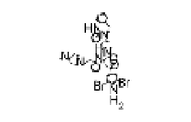 CN(C)C1CCN(CCC(=O)N[C@H](CC(=O)c2cc(Br)c(N)c(Br)c2)C(=O)N2CCC(N3CCc4ccccc4NC3=O)CC2)CC1